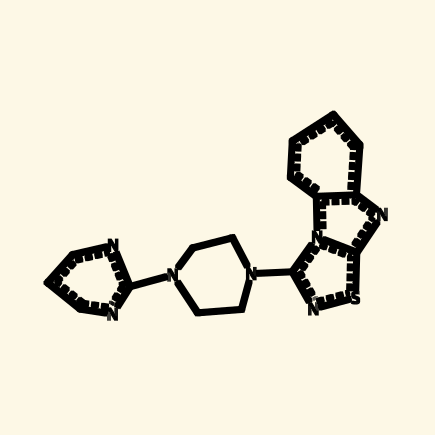 c1cnc(N2CCN(c3nsc4nc5ccccc5n34)CC2)nc1